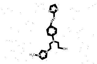 C[n+]1ccn(CCN(CCO)c2ccc(N=Nc3nccs3)cc2)c1